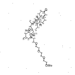 COCCOCCOCCOCCN1C[C@@H](C)C[C@H]2O[C@]3(CC[C@@H]4C(=C(C)C3)C[C@H]3[C@H]4CCC4=CC(=O)CC[C@@]43C)[C@H](C)[C@@H]21